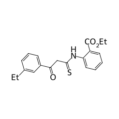 CCOC(=O)c1ccccc1NC(=S)CC(=O)c1cccc(CC)c1